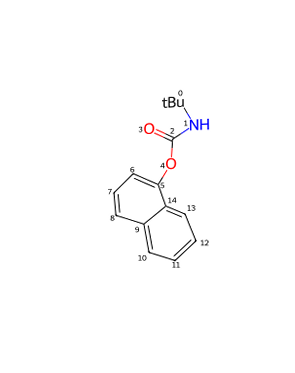 CC(C)(C)NC(=O)Oc1cccc2ccccc12